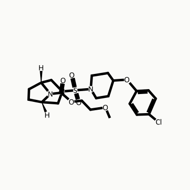 COCCOC(=O)N1[C@@H]2CC[C@H]1CN(S(=O)(=O)N1CCC(Oc3ccc(Cl)cc3)CC1)C2